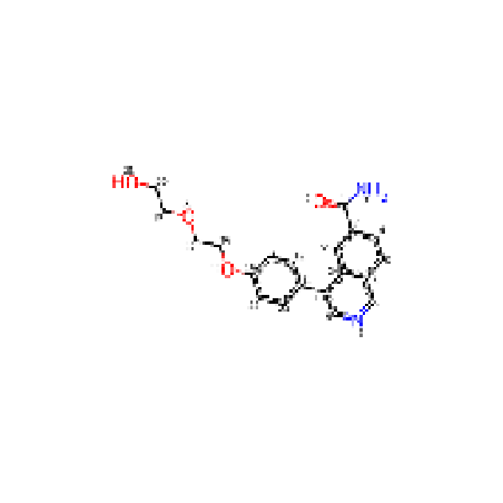 NC(=O)c1ccc2cncc(-c3ccc(OCCOCCO)cc3)c2c1